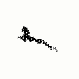 CCCCCCCOc1ccc(CCc2ccc(CN(Cc3ccc(C(F)(F)F)cc3)C(=O)C(=O)O)cc2)cc1